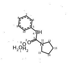 O.O.O=C(Bc1ccccc1)N1CCCC1